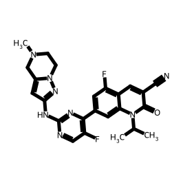 CC(C)n1c(=O)c(C#N)cc2c(F)cc(-c3nc(Nc4cc5n(n4)CCN(C)C5)ncc3F)cc21